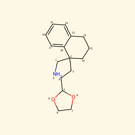 NCC1(CCC2OCCO2)CCCc2ccccc21